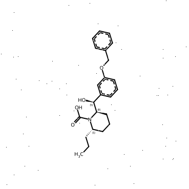 CCC[C@H]1CCC[C@H]([C@@H](O)c2cccc(OCc3ccccc3)c2)N1C(=O)O